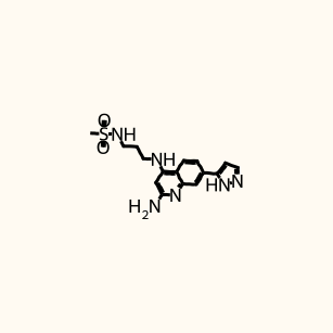 CS(=O)(=O)NCCCNc1cc(N)nc2cc(-c3ccn[nH]3)ccc12